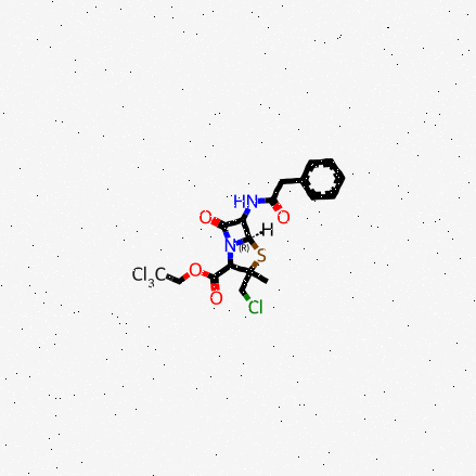 CC1(CCl)S[C@@H]2C(NC(=O)Cc3ccccc3)C(=O)N2C1C(=O)OCC(Cl)(Cl)Cl